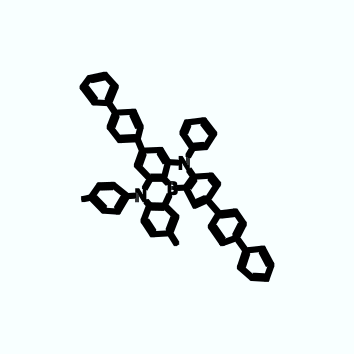 Cc1ccc(N2c3ccc(C)cc3B3c4cc(-c5ccc(-c6ccccc6)cc5)ccc4N(c4ccccc4)c4cc(-c5ccc(-c6ccccc6)cc5)cc2c43)cc1